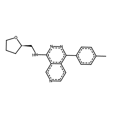 Cc1ccc(-c2nnc(NC[C@H]3CCCO3)c3cnccc23)cc1